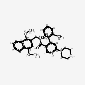 COc1cc(CN(C)C(=O)c2cnc(N3CCOCC3)cc2-c2ccccc2C)c(OC)c2ccccc12